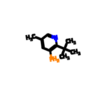 Cc1cnc(C(C)(C)C)c(P)c1